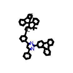 CC1(C)c2ccccc2C2(c3ccccc3-c3ccccc32)c2ccc(-c3cccc(-c4cc(-c5ccccc5)nc(-c5ccc6c7ccccc7c7ccccc7c6c5)n4)c3)cc21